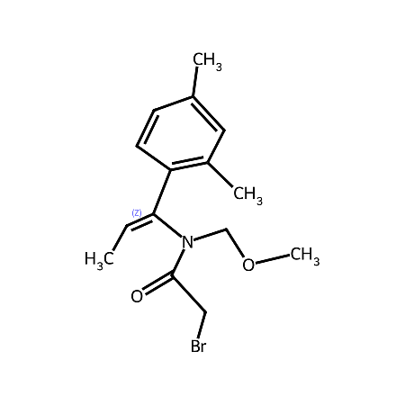 C/C=C(/c1ccc(C)cc1C)N(COC)C(=O)CBr